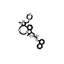 CCOC(=O)C1(C)C(CCCOc2cccc3ccccc23)c2cccc3c2N1CCCOCc1c-3c(CN2CCOCC2)nn1C